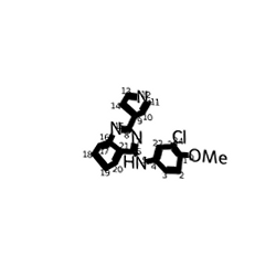 COc1ccc(Nc2nc(-c3ccncc3)nc3ccccc23)cc1Cl